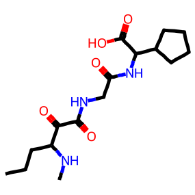 CCCC(NC)C(=O)C(=O)NCC(=O)NC(C(=O)O)C1CCCC1